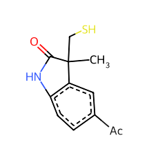 CC(=O)c1ccc2c(c1)C(C)(CS)C(=O)N2